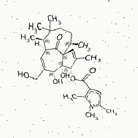 CC1=C[C@]23C(=O)[C@@H](C=C(CO)[C@@H](O)[C@]2(O)[C@H]1OC(=O)c1cc(C)n(C)c1C)[C@@H](C)C(C)(C)CC[C@H]3C